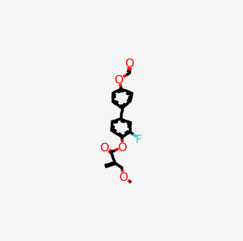 C=C(COC)C(=O)Oc1ccc(-c2ccc(OC=O)cc2)cc1F